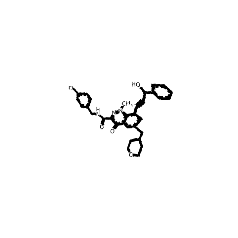 Cn1nc(C(=O)NCc2ccc(Cl)cc2)c(=O)c2cc(CC3CCOCC3)cc(C#CC(O)c3ccccc3)c21